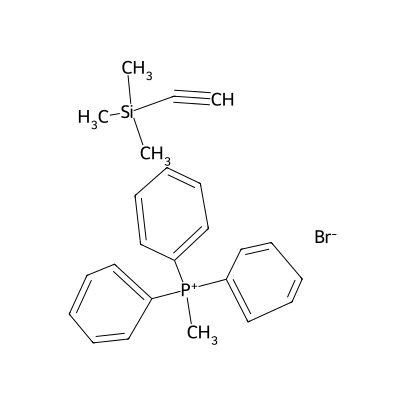 C#C[Si](C)(C)C.C[P+](c1ccccc1)(c1ccccc1)c1ccccc1.[Br-]